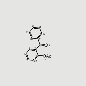 CC(=O)Oc1ncccc1C(=O)c1ccccc1